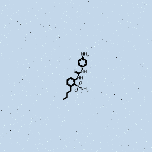 CCCCc1cccc(NC(=S)Nc2ccc(N)cc2)c1S(N)(=O)=O